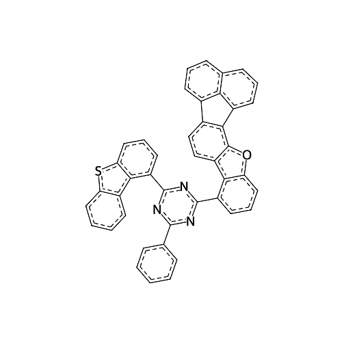 c1ccc(-c2nc(-c3cccc4oc5c6c(ccc5c34)-c3cccc4cccc-6c34)nc(-c3cccc4sc5ccccc5c34)n2)cc1